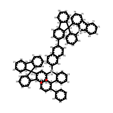 c1ccc(-c2ccccc2-c2ccccc2N(c2ccc3c(c2)C2(c4ccccc4-c4ccccc42)c2ccccc2-3)c2ccc3cc(-c4ccc5c(c4)C4(c6ccccc6-5)c5ccccc5-n5c6ccccc6c6cccc4c65)ccc3c2)cc1